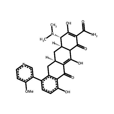 COc1ccncc1-c1ccc(O)c2c1C[C@H]1C[C@@H]3C(C(=O)C(C(N)=O)=C(O)[C@H]3N(C)C)C(O)=C1C2=O